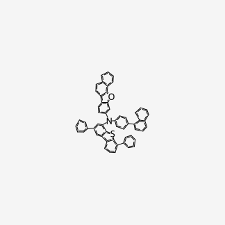 c1ccc(-c2cc(N(c3ccc(-c4cccc5ccccc45)cc3)c3ccc4c(c3)oc3c5ccccc5ccc43)c3sc4c(-c5ccccc5)cccc4c3c2)cc1